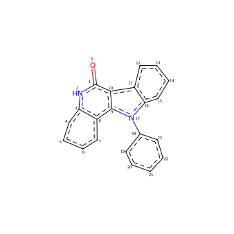 O=c1[nH]c2ccccc2c2c1c1ccccc1n2-c1ccccc1